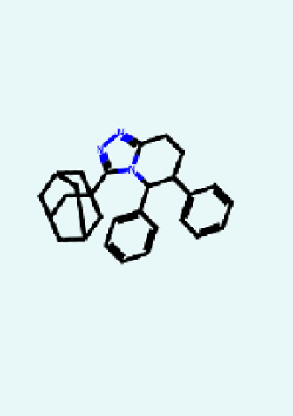 c1ccc(C2CCc3nnc(C45CC6CC(CC(C6)C4)C5)n3C2c2ccccc2)cc1